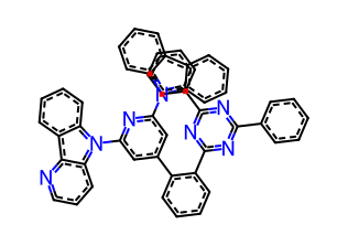 c1ccc(-c2nc(-c3ccccc3)nc(-c3ccccc3-c3cc(-n4c5ccccc5c5ccccc54)nc(-n4c5ccccc5c5ncccc54)c3)n2)cc1